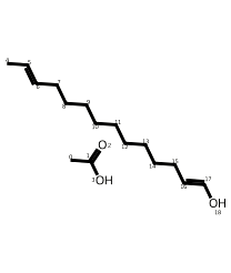 CC(=O)O.CC=CCCCCCCCCCC=CO